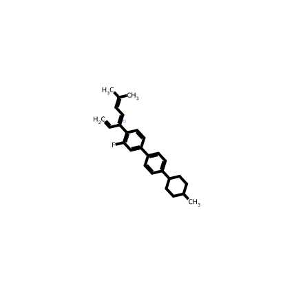 C=C/C(=C\C=C(C)C)c1ccc(-c2ccc(C3CCC(C)CC3)cc2)cc1F